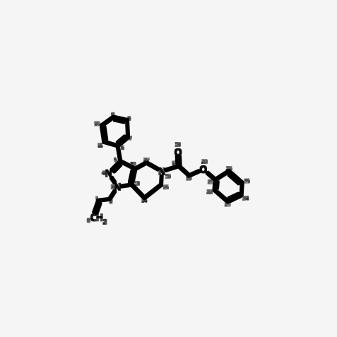 C=CCn1nc(-c2ccccc2)c2c1CCN(C(=O)COc1ccccc1)C2